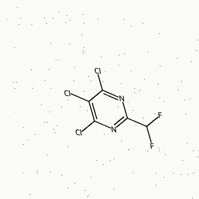 FC(F)c1nc(Cl)c(Cl)c(Cl)n1